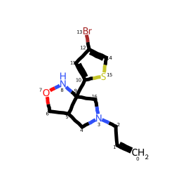 C=CCN1CC2CONC2(c2cc(Br)cs2)C1